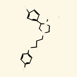 O=C(O)N1CCN(CCCOc2ccc(F)cc2)CC1c1ccc([N+](=O)[O-])cc1